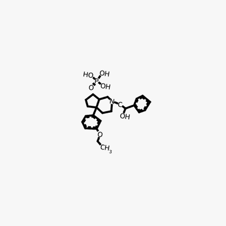 CCOc1cccc(C23CCCC2CN(CC(O)c2ccccc2)CC3)c1.O=P(O)(O)O